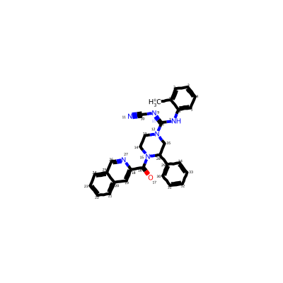 Cc1ccccc1N/C(=N/C#N)N1CCN(C(=O)c2cc3ccccc3cn2)C(c2ccccc2)C1